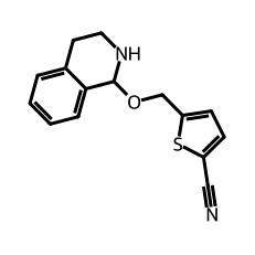 N#Cc1ccc(COC2NCCc3ccccc32)s1